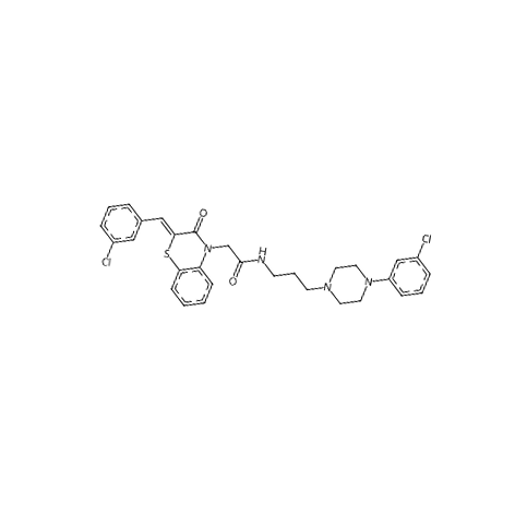 O=C(CN1C(=O)/C(=C/c2cccc(Cl)c2)Sc2ccccc21)NCCCN1CCN(c2cccc(Cl)c2)CC1